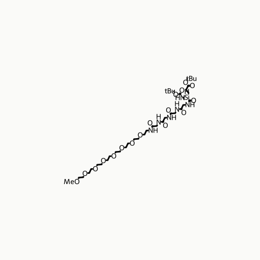 COCCOCCOCCOCCOCCOCCOCCOCCNC(=O)CNC(=O)CNC(=O)CNC(=O)CNC(=O)[Si@H](CCC(=O)OC(C)(C)C)NC(=O)OC(C)(C)C